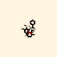 COc1c(Cl)cc(Br)c(OC)c1P(=O)(C(=O)c1ccccc1)C(=O)c1c(C)cccc1Cl